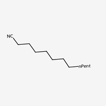 CCCCCCCCCCCCC#N